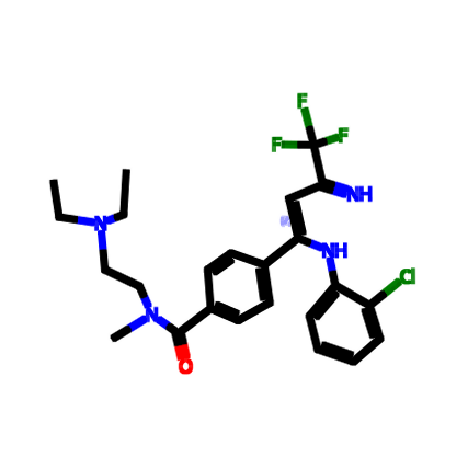 CCN(CC)CCN(C)C(=O)c1ccc(/C(=C/C(=N)C(F)(F)F)Nc2ccccc2Cl)cc1